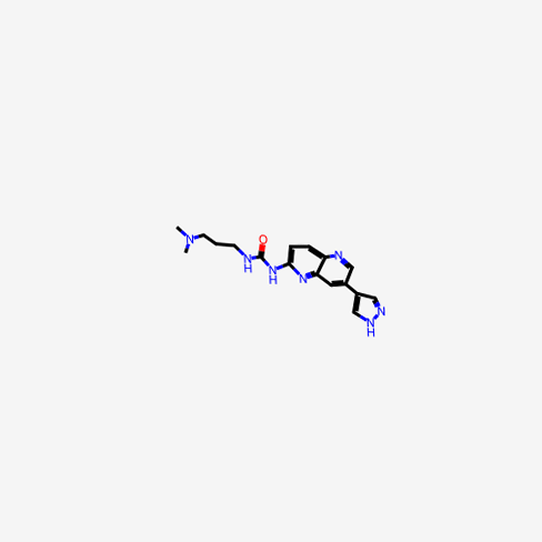 CN(C)CCCNC(=O)Nc1ccc2ncc(-c3cn[nH]c3)cc2n1